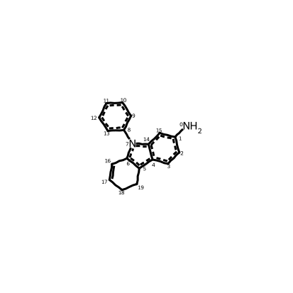 Nc1ccc2c3c(n(-c4ccccc4)c2c1)C=CCC3